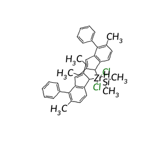 CCC1=Cc2c(ccc(C)c2-c2ccccc2)[CH]1[Zr]([Cl])([Cl])([CH]1C(CC)=Cc2c1ccc(C)c2-c1ccccc1)[SiH](C)C